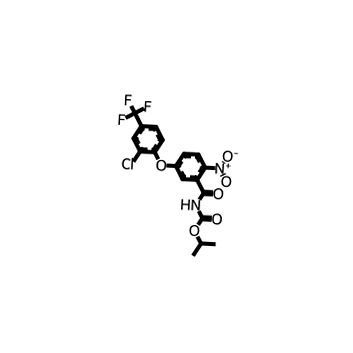 CC(C)OC(=O)NC(=O)c1cc(Oc2ccc(C(F)(F)F)cc2Cl)ccc1[N+](=O)[O-]